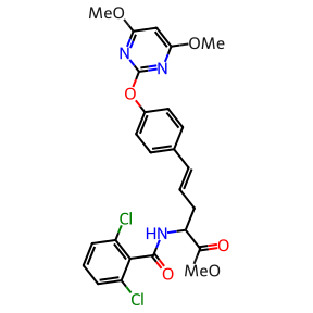 COC(=O)C(C/C=C/c1ccc(Oc2nc(OC)cc(OC)n2)cc1)NC(=O)c1c(Cl)cccc1Cl